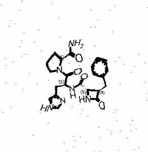 NC(=O)[C@@H]1CCCN1C(=O)[C@H](Cc1c[nH]cn1)NC(=O)[C@H]1NC(=O)[C@@H]1Cc1ccccc1